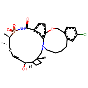 C[C@@H]1[C@@H](C)C/C=C/C(O)[C@@H]2CC[C@H]2CN2CCCCc3cc(Cl)ccc3COc3ccc(cc32)C(=O)NS1(=O)=O